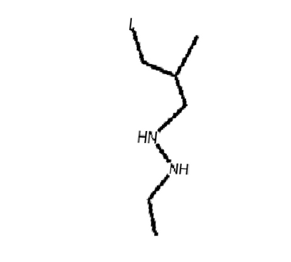 CCNNCC(C)CI